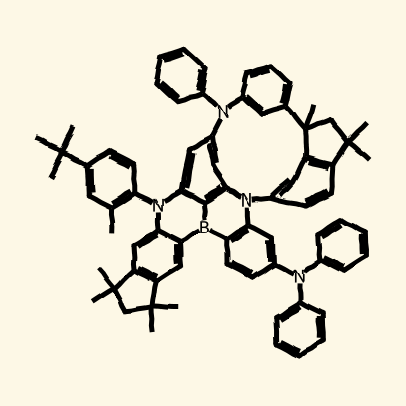 Cc1cc(C(C)(C)C)ccc1N1c2cc3c(cc2B2c4ccc(N(c5ccccc5)c5ccccc5)cc4N4c5ccc6c(c5)C(C)(CC6(C)C)c5cccc(c5)N(c5ccccc5)c5cc4c2c1c5)C(C)(C)CC3(C)C